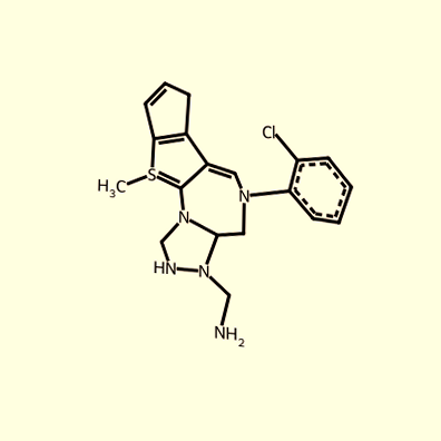 CS1=C2C(=CN(c3ccccc3Cl)CC3N(CN)NCN23)C2=C1C=CC2